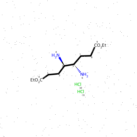 CCOC(=O)CC[C@@H](N)[C@@H](N)CCC(=O)OCC.Cl.Cl